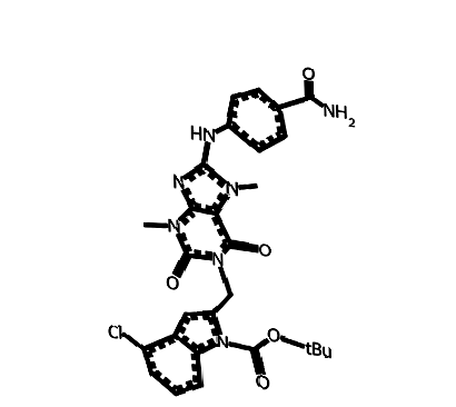 Cn1c(Nc2ccc(C(N)=O)cc2)nc2c1c(=O)n(Cc1cc3c(Cl)cccc3n1C(=O)OC(C)(C)C)c(=O)n2C